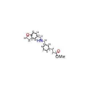 COC(=O)CCc1cccc(CNCc2ccc3c(c2)CCO3)c1